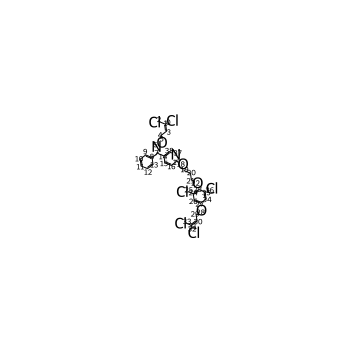 ClC(Cl)=CCON=C(c1ccccc1)c1ccc(OCCCOc2c(Cl)cc(OCC=C(Cl)Cl)cc2Cl)nc1